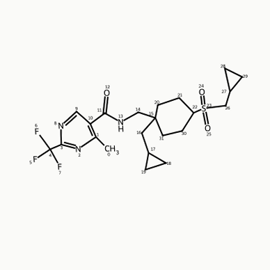 Cc1nc(C(F)(F)F)ncc1C(=O)NCC1(CC2CC2)CCC(S(=O)(=O)CC2CC2)CC1